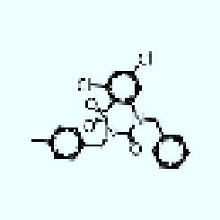 Cc1ccc(CN2C(=O)N(Cc3ccccc3)c3cc(Cl)cc(Cl)c3S2(=O)=O)cc1